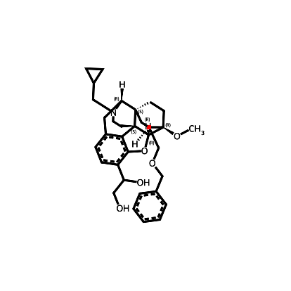 CO[C@]12CC[C@@]3(C[C@@H]1COCc1ccccc1)[C@H]1Cc4ccc(C(O)CO)c5c4[C@@]3(CCN1CC1CC1)[C@H]2O5